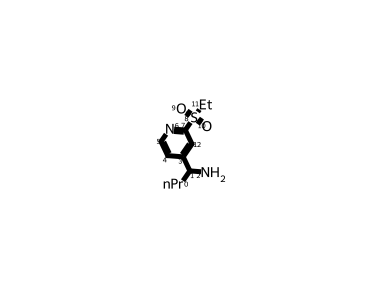 CCCC(N)c1ccnc(S(=O)(=O)CC)c1